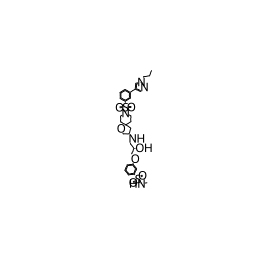 CCCn1cc(-c2cccc(S(=O)(=O)N3CCC4(CC3)CC(NC[C@H](O)COc3cccc(S(=O)(=O)NC)c3)CO4)c2)cn1